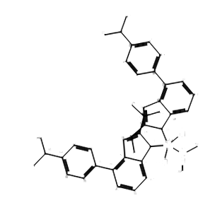 CCC1=Cc2c(-c3ccc(C(C)C)cc3)cccc2[CH]1[Zr]([Cl])([Cl])([CH]1C(C(C)C)=Cc2c(-c3ccc(C(C)C)cc3)cccc21)[SiH](C)C